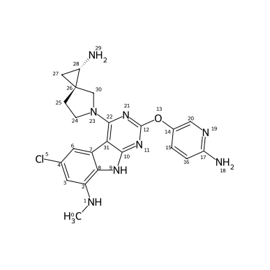 CNc1cc(Cl)cc2c1[nH]c1nc(Oc3ccc(N)nc3)nc(N3CC[C@]4(C[C@@H]4N)C3)c12